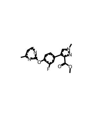 COC(=O)c1nn(C)cc1-c1ccc(Oc2nccc(C)n2)c(F)c1